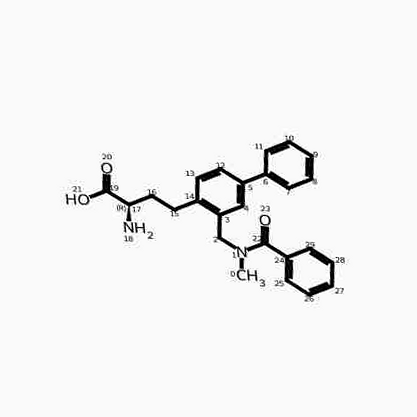 CN(Cc1cc(-c2ccccc2)ccc1CC[C@@H](N)C(=O)O)C(=O)c1ccccc1